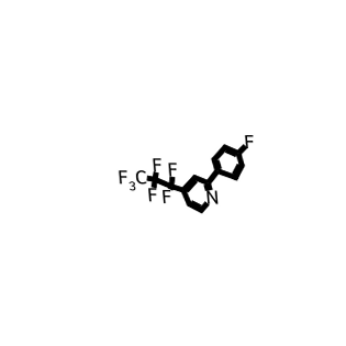 Fc1ccc(-c2cc(C(F)(F)C(F)(F)C(F)(F)F)ccn2)cc1